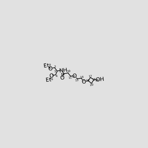 CCOCC(COCC)NC(=O)CCOCCOC1CC(O)C1